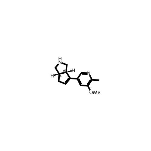 COc1cc(C2=CC[C@@H]3CNC[C@H]23)cnc1C